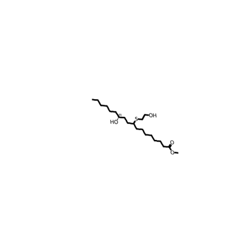 CCCCCC[C@@H](O)CCC(CCCCCCCC(=O)OC)SCCO